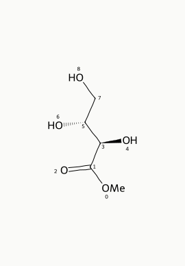 COC(=O)[C@H](O)[C@H](O)CO